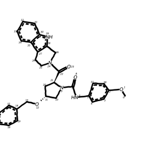 COc1ccc(NC(=O)N2C[C@H](OCc3ccccc3)C[C@H]2C(=O)N2CCc3c([nH]c4ccccc34)C2)cc1